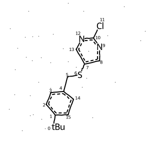 CC(C)(C)c1ccc(CSc2cnc(Cl)nc2)cc1